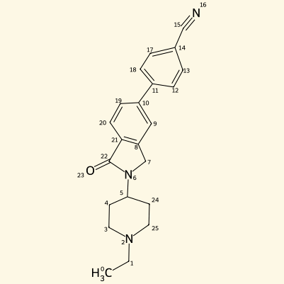 CCN1CCC(N2Cc3cc(-c4ccc(C#N)cc4)ccc3C2=O)CC1